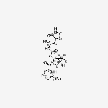 CC(C)C[C@H](NC(=O)C(C)(C)C)C(=O)N1C[C@H]2[C@@H]([C@H]1CC(=O)N[C@H](C#N)C[C@@H]1CCNC1=O)C2(C)C